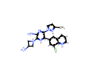 Cc1ccn(-c2nc(N)c(N3CC(N)C3)nc2-c2cc(Cl)c3ncccc3c2)n1